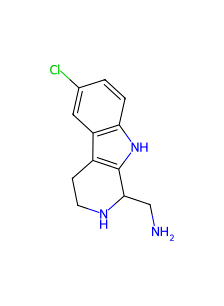 NCC1NCCc2c1[nH]c1ccc(Cl)cc21